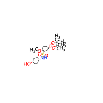 COc1ccc(B2OC(C)(C)C(C)(C)O2)cc1S(=O)(=O)N[C@H]1CC[C@H](O)CC1